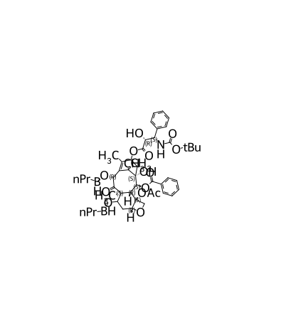 CCCBOC1C[C@H]2OC[C@@]2(OC(C)=O)[C@H]2[C@H](OC(=O)c3ccccc3)[C@]3(O)CC(OC(=O)[C@H](O)[C@@H](NC(=O)OC(C)(C)C)c4ccccc4)C(C)=C([C@@H](OBCCC)C(=O)[C@]12C)C3(C)C